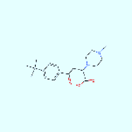 CN1CCN(C(CC(=O)c2ccc(C(C)(C)C)cc2)C(=O)O)CC1